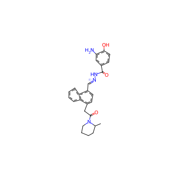 CC1CCCCN1C(=O)Cc1ccc(/C=N/NC(=O)c2ccc(O)c(N)c2)c2ccccc12